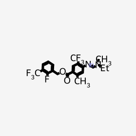 CCN(C)/C=N/c1cc(C)c(C(=O)OCc2cccc(C(F)(F)F)c2F)cc1C(F)(F)F